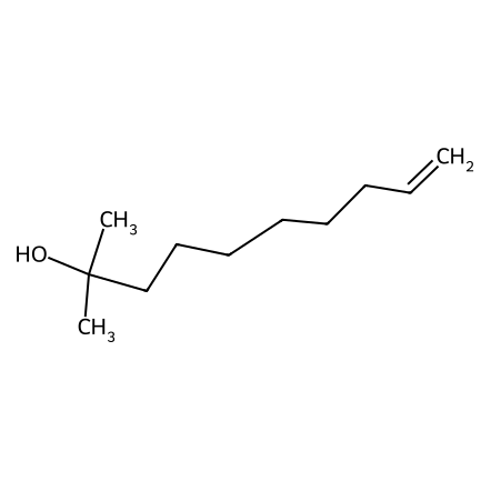 C=CCCCCCCC(C)(C)O